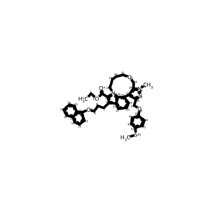 CCOC(=O)c1c(CCCOc2cccc3ccccc23)c2cccc3c2n1CCCCOCc1c-3c(COc2ccc(SC)cc2)nn1C